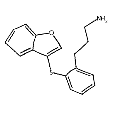 NCCCc1ccccc1Sc1coc2ccccc12